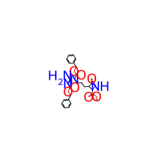 COC(=O)C1NC(=O)C1CCCN(C(=O)OCc1ccccc1)/C(N)=N\C(=O)OCc1ccccc1